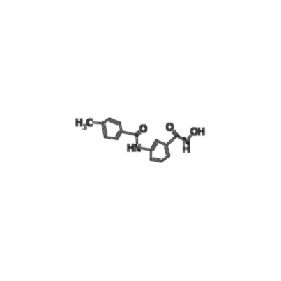 Cc1ccc(C(=O)Nc2cccc(C(=O)NO)c2)cc1